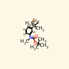 CN(C(=O)OC(C)(C)C)c1cccc([Si](C)(C)CBr)c1